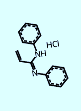 C=CC(=Nc1ccccc1)Nc1ccccc1.Cl